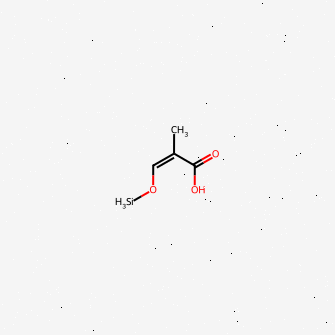 CC(=CO[SiH3])C(=O)O